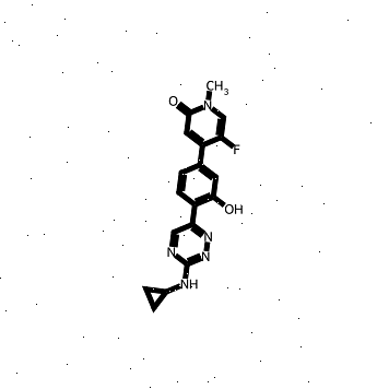 Cn1cc(F)c(-c2ccc(-c3cnc(NC4CC4)nn3)c(O)c2)cc1=O